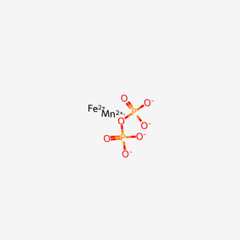 O=P([O-])([O-])OP(=O)([O-])[O-].[Fe+2].[Mn+2]